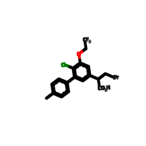 Cc1ccc(-c2cc(C(CC(C)C)C(=O)O)cc(OCC(F)(F)F)c2Cl)cc1